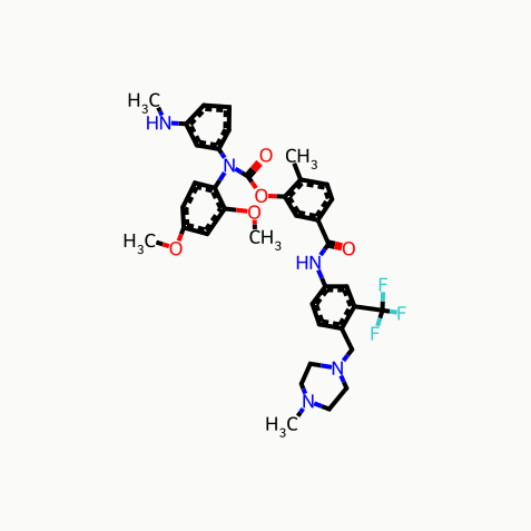 CNc1cccc(N(C(=O)Oc2cc(C(=O)Nc3ccc(CN4CCN(C)CC4)c(C(F)(F)F)c3)ccc2C)c2ccc(OC)cc2OC)c1